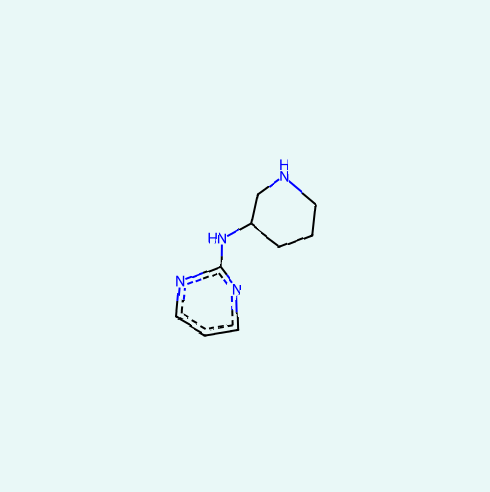 c1cnc(NC2CCCNC2)nc1